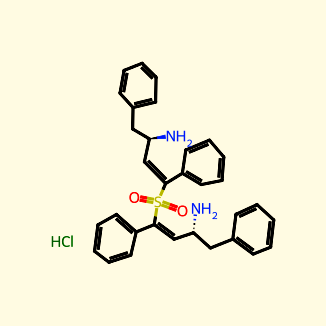 Cl.N[C@@H](C=C(c1ccccc1)S(=O)(=O)C(=C[C@H](N)Cc1ccccc1)c1ccccc1)Cc1ccccc1